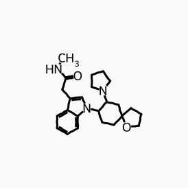 CNC(=O)Cc1cn(C2CCC3(CCCO3)CC2N2CCCC2)c2ccccc12